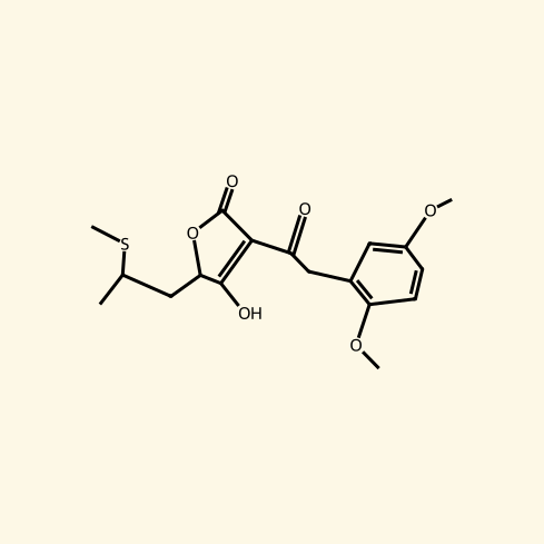 COc1ccc(OC)c(CC(=O)C2=C(O)C(CC(C)SC)OC2=O)c1